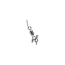 C=CCOc1c(F)cc(C=NN=Cc2ccc(CCCCC)cc2)cc1F